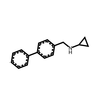 [c]1ccc(-c2ccc(CNC3CC3)cc2)cc1